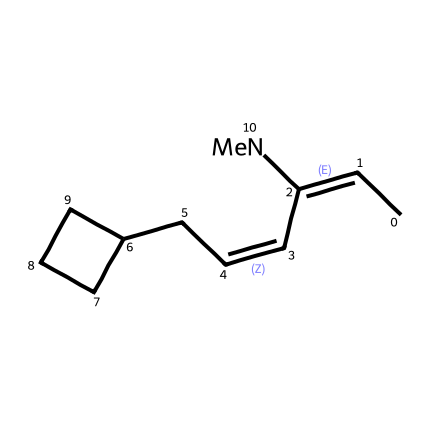 C/C=C(\C=C/CC1CCC1)NC